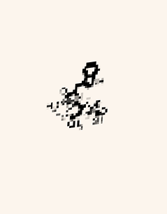 CNC(=O)C(Cc1c[nH]c2ccccc12)NC(=O)C(CC(C)C)NS(=O)(=O)C(=O)S